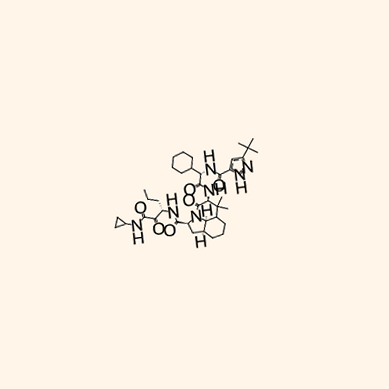 CCC[C@H](NC(=O)[C@@H]1C[C@@H]2CCCC3[C@@H]2N1C(=O)[C@@H](NC(=O)[C@@H](NC(=O)c1cc(C(C)(C)C)n[nH]1)C1CCCCC1)C3(C)C)C(=O)C(=O)NC1CC1